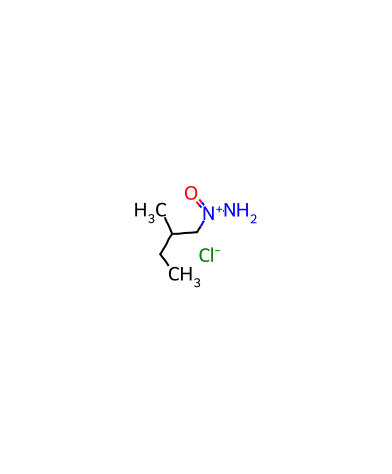 CCC(C)C[N+](N)=O.[Cl-]